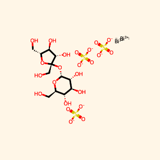 O=S(=O)([O-])[O-].O=S(=O)([O-])[O-].O=S(=O)([O-])[O-].OC[C@H]1O[C@@](CO)(O[C@H]2O[C@H](CO)[C@@H](O)[C@H](O)[C@H]2O)[C@@H](O)[C@@H]1O.[Bi+3].[Bi+3]